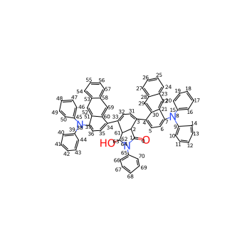 O=C1C2C(c3ccc(N(c4ccccc4)c4ccccc4)c4cc5ccccc5cc34)=CC=C(c3ccc(N(c4ccccc4)c4ccccc4)c4cc5ccccc5cc34)C2C(O)N1c1ccccc1